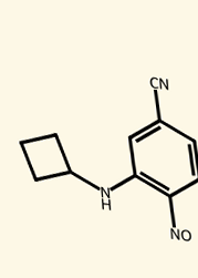 N#Cc1ccc(N=O)c(NC2CCC2)c1